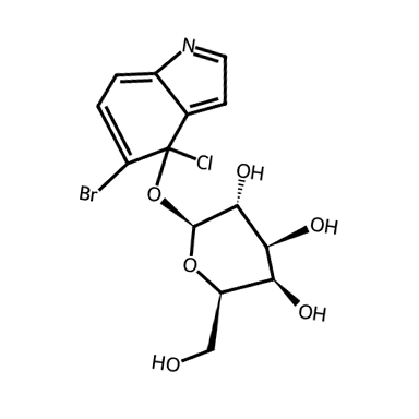 OC[C@H]1O[C@@H](OC2(Cl)C(Br)=CC=C3N=CC=C32)[C@H](O)[C@@H](O)[C@H]1O